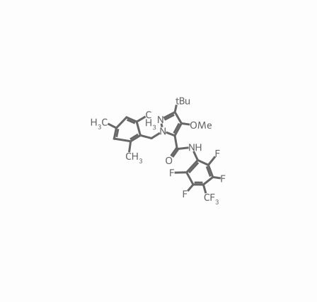 COc1c(C(C)(C)C)nn(Cc2c(C)cc(C)cc2C)c1C(=O)Nc1c(F)c(F)c(C(F)(F)F)c(F)c1F